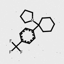 FC(F)(F)c1ccc(C2(N3CCCC3)CCCCC2)cc1